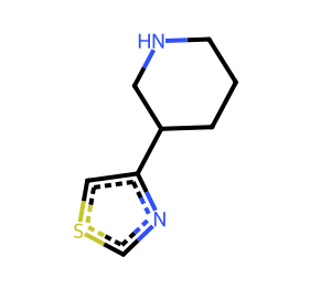 c1nc(C2CCCNC2)cs1